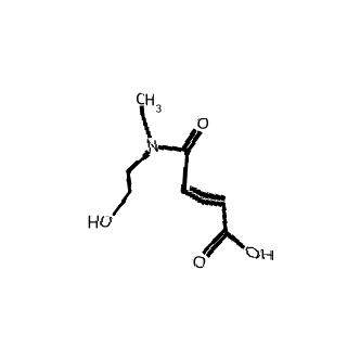 CN(CCO)C(=O)C=CC(=O)O